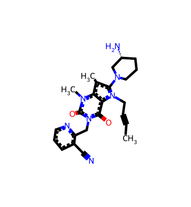 CC#CCn1c(N2CCC[C@@H](N)C2)c(C)c2c1c(=O)n(Cc1ncccc1C#N)c(=O)n2C